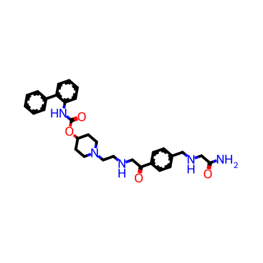 NC(=O)CNCc1ccc(C(=O)CNCCN2CCC(OC(=O)Nc3ccccc3-c3ccccc3)CC2)cc1